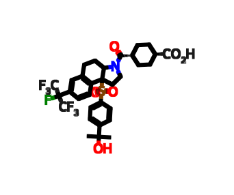 CC(C)(O)c1ccc(S(=O)(=O)C23CCN(C(=O)[C@H]4CC[C@H](C(=O)O)CC4)C2CCc2cc(C(F)(C(F)(F)F)C(F)(F)F)ccc23)cc1